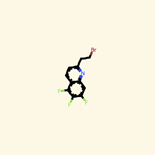 Fc1cc2nc(CCBr)ccc2c(F)c1F